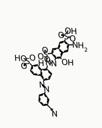 N#Cc1cccc(N=Nc2ccc(N=Nc3c(S(=O)(=O)O)cc4cc(S(=O)(=O)O)c(N)cc4c3O)c3cc(S(=O)(=O)O)ccc23)c1